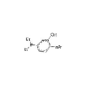 C[CH]Cc1ccc(N(CC)CC)cc1O